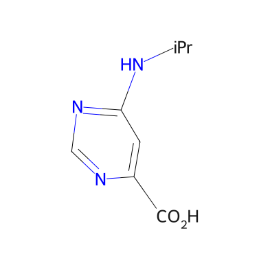 CC(C)Nc1cc(C(=O)O)ncn1